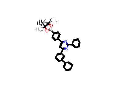 CC1(C)OB(c2ccc(-c3cc(-c4cccc(-c5ccccc5)c4)nc(-c4ccccc4)n3)cc2)OC1(C)C